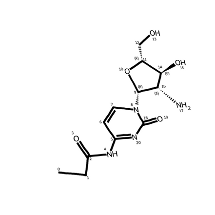 CCC(=O)Nc1ccn([C@@H]2O[C@H](CO)[C@@H](O)[C@@H]2N)c(=O)n1